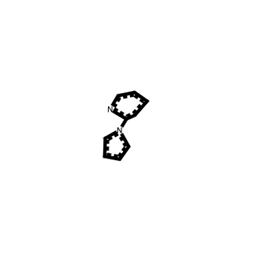 [c]1cccn1-c1ccccn1